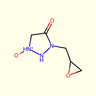 O=C1C[NH+]([O-])NN1CC1CO1